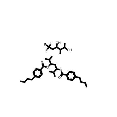 CC(O)C(C)C(O)CC(F)(F)F.CCCCc1ccc(C(=O)OC(CC(OC(=O)c2ccc(CCCC)cc2)C(C)C)C(C)C)cc1